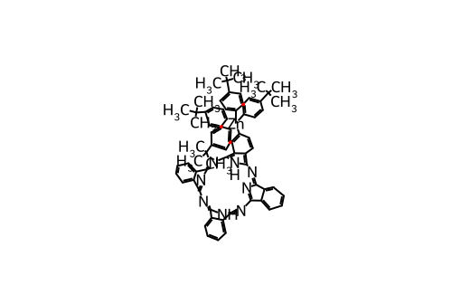 CC(C)(C)c1cc[c]([Zn]([c]2ccc(C(C)(C)C)cc2)([c]2ccc(C(C)(C)C)cc2)([c]2ccc(C(C)(C)C)cc2)[c]2ccc3c4nc5nc(nc6[nH]c(nc7nc(nc([nH]4)c3c2)-c2ccccc2-7)c2ccccc62)-c2ccccc2-5)cc1